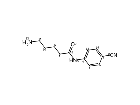 N#Cc1ccc(NC(=O)CCCCN)cc1